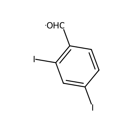 O=[C]c1ccc(I)cc1I